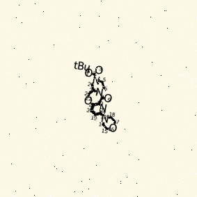 CC(C)(C)OC(=O)N1CCN2C(=O)c3nc(N4CCOCC4)ccc3OCC2C1